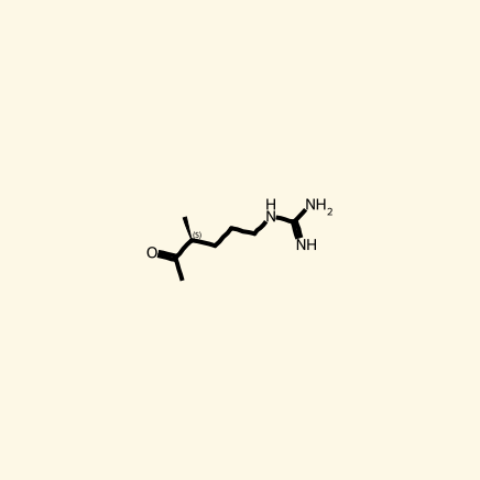 CC(=O)[C@@H](C)CCCNC(=N)N